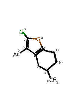 CC(=O)c1c(Cl)sc2c1CC(C(F)(F)F)CC2